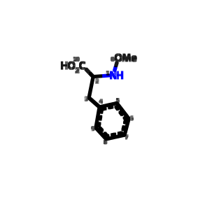 CONC(Cc1ccccc1)C(=O)O